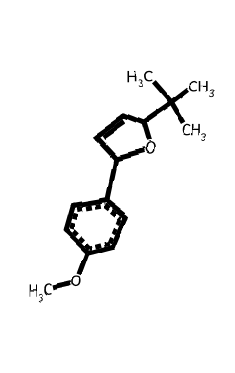 COc1ccc(C2C=CC(C(C)(C)C)O2)cc1